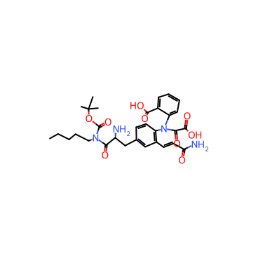 CCCCCN(C(=O)OC(C)(C)C)C(=O)[C@@H](N)Cc1ccc(N(C(=O)C(=O)O)c2ccccc2C(=O)O)c(/C=C/C(N)=O)c1